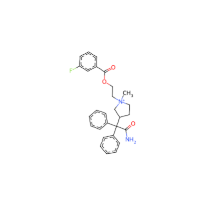 C[N+]1(CCOC(=O)c2cccc(F)c2)CCC(C(C(N)=O)(c2ccccc2)c2ccccc2)C1